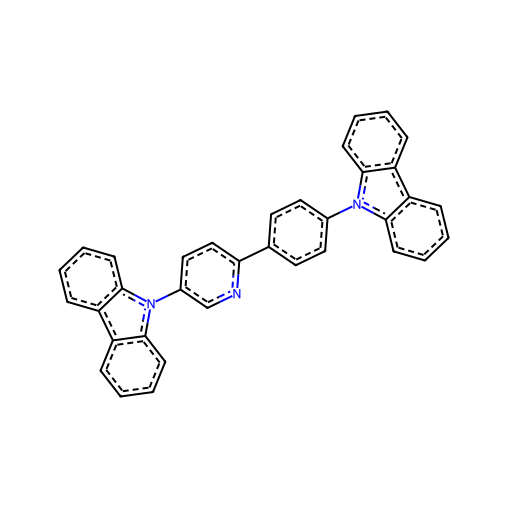 c1ccc2c(c1)c1ccccc1n2-c1ccc(-c2ccc(-n3c4ccccc4c4ccccc43)cn2)cc1